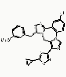 COc1cccc(Cc2nnc3n2Cc2c(-c4noc(C5CC5)n4)ncn2-c2ccc(Cl)cc2-3)c1